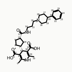 CC1=C(C(=O)O)C([C@@H]2CC[C@H](C(=O)NCCCN3CCC(c4ccccc4)CC3)C2)C(C(=O)O)=C(C)N1